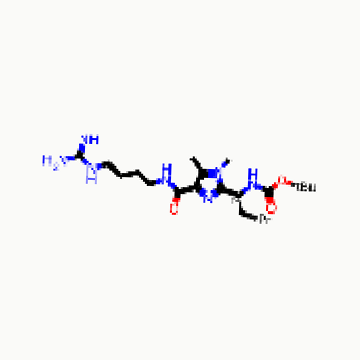 Cc1c(C(=O)NCCCCNC(=N)N)nc([C@H](CC(C)C)NC(=O)OC(C)(C)C)n1C